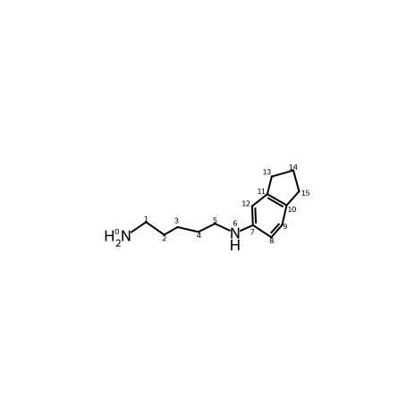 NCCCCCNc1ccc2c(c1)CCC2